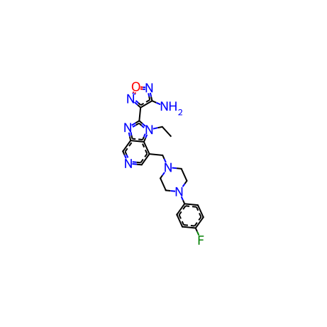 CCn1c(-c2nonc2N)nc2cncc(CN3CCN(c4ccc(F)cc4)CC3)c21